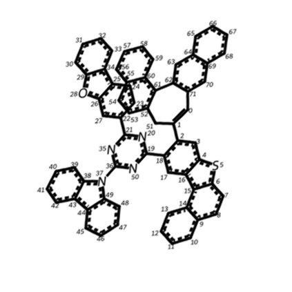 C1=C(c2cc3sc4ccc5ccccc5c4c3cc2-c2nc(-c3ccc4c(c3)oc3ccccc34)nc(-n3c4ccccc4c4ccccc43)n2)Cc2ccc3ccccc3c2-c2cc3ccccc3cc21